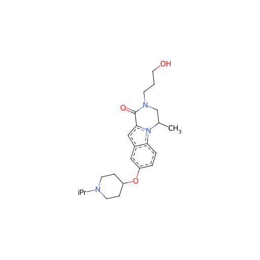 CC(C)N1CCC(Oc2ccc3c(c2)cc2n3C(C)CN(CCCO)C2=O)CC1